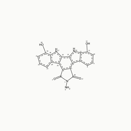 NN1C(=O)c2c(c3c4cccc(O)c4[nH]c3c3[nH]c4c(O)cccc4c23)C1=O